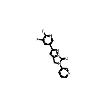 O=C1N(c2cccnc2)Cc2cc(-c3cnc(F)c(F)c3)nn21